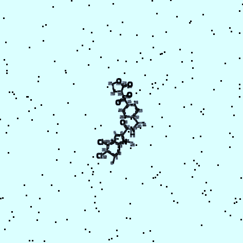 Cc1cc2c(cc(C(=O)NC(C)c3ccc(S(=O)(=O)C4CCOC4=O)cc3)n2C)c(Cl)c1Cl